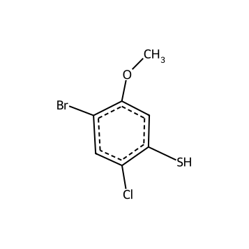 COc1cc(S)c(Cl)cc1Br